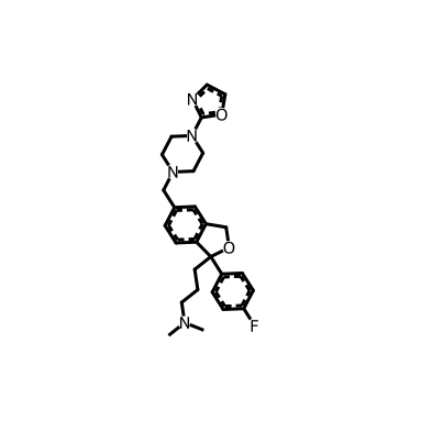 CN(C)CCCC1(c2ccc(F)cc2)OCc2cc(CN3CCN(c4ncco4)CC3)ccc21